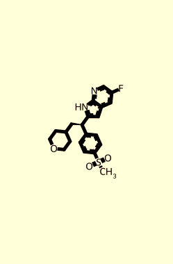 CS(=O)(=O)c1ccc([C@@H](CC2CCOCC2)c2cc3cc(F)cnc3[nH]2)cc1